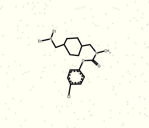 CCN(CC)CC1CCC(CN(C)C(=O)Oc2ccc(Cl)cc2)CC1